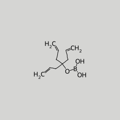 C=CCC(CC=C)(CC=C)OB(O)O